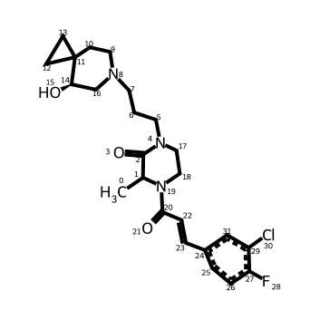 CC1C(=O)N(CCCN2CCC3(CC3)[C@H](O)C2)CCN1C(=O)/C=C/c1ccc(F)c(Cl)c1